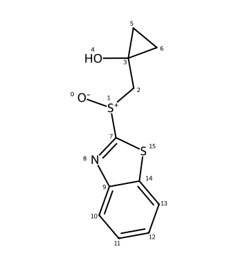 [O-][S+](CC1(O)CC1)c1nc2ccccc2s1